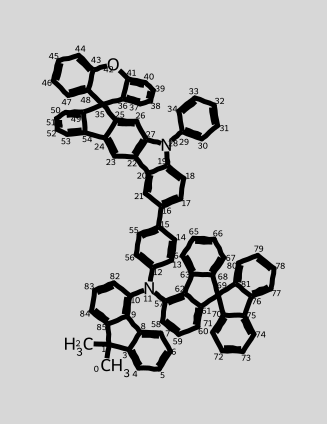 CC1(C)c2ccccc2-c2c(N(c3ccc(-c4ccc5c(c4)c4cc6c(cc4n5-c4ccccc4)C4(c5ccccc5Oc5ccccc54)c4ccccc4-6)cc3)c3cccc4c3-c3ccccc3C43c4ccccc4-c4ccccc43)cccc21